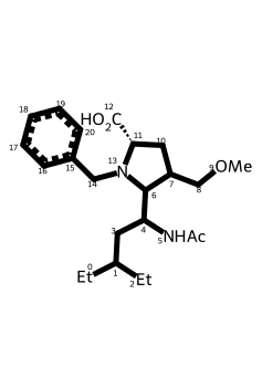 CCC(CC)CC(NC(C)=O)C1C(COC)C[C@@H](C(=O)O)N1Cc1ccccc1